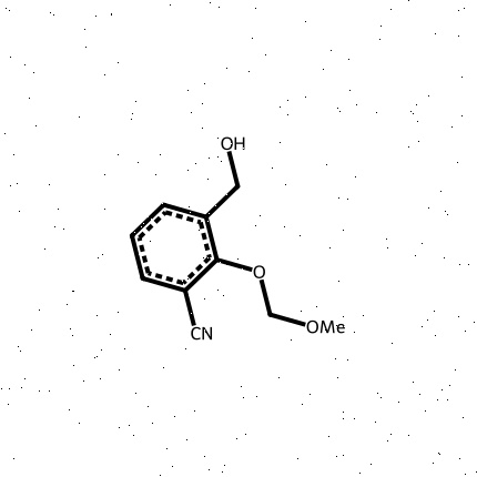 COCOc1c(C#N)cccc1CO